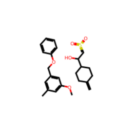 C=C1CCC(C(O)C=S(=O)=O)CC1.COc1cc(C)cc(COc2ccccc2)c1